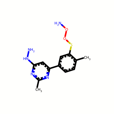 Cc1nc(NN)cc(-c2ccc(C)c(SOON)c2)n1